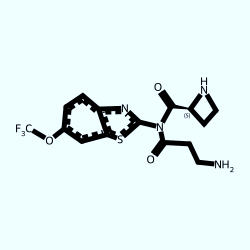 NCCC(=O)N(C(=O)[C@@H]1CCN1)c1nc2ccc(OC(F)(F)F)cc2s1